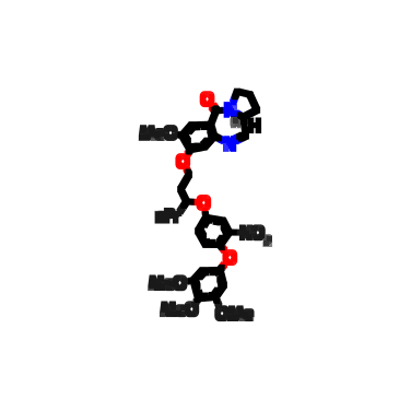 CCCC(CCOc1cc2c(cc1OC)C(=O)N1CCC[C@H]1C=N2)Oc1ccc(Oc2cc(OC)c(OC)c(OC)c2)c([N+](=O)[O-])c1